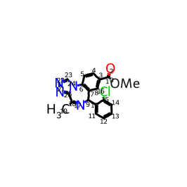 COC(=O)c1ccc2c(c1)C(c1ccccc1Cl)N=C(C)c1nncn1-2